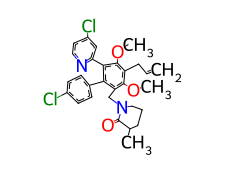 C=CCc1c(OC)c(CN2CCCC(C)C2=O)c(-c2ccc(Cl)cc2)c(-c2cc(Cl)ccn2)c1OC